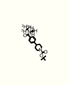 [2H]C([2H])([2H])N(C(=O)c1ccc(C2CCN(C(=O)OC(C)(C)C)CC2)cc1)C([2H])([2H])[2H]